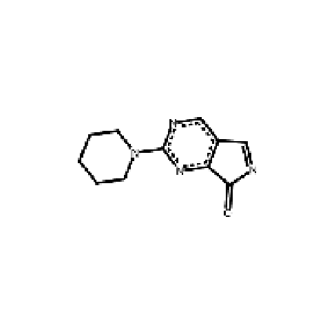 O=C1N=Cc2cnc(N3CCCCC3)nc21